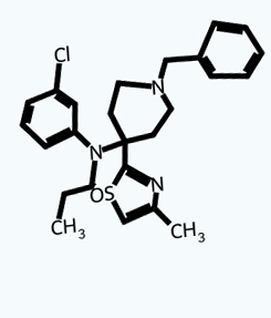 CCC(=O)N(c1cccc(Cl)c1)C1(c2nc(C)cs2)CCN(Cc2ccccc2)CC1